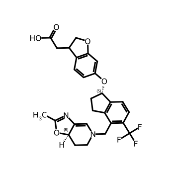 CC1=NC2=CN(Cc3c(C(F)(F)F)ccc4c3CC[C@@H]4Oc3ccc4c(c3)OCC4CC(=O)O)CC[C@H]2O1